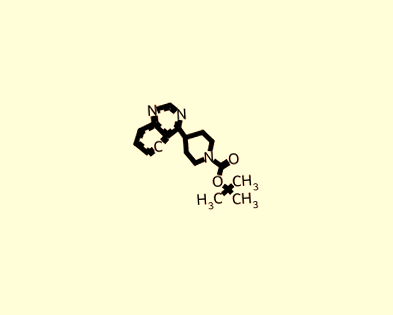 CC(C)(C)OC(=O)N1CCC(c2ncnc3ccccc23)CC1